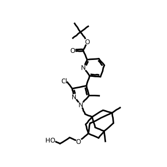 Cc1c(-c2cccc(C(=O)OC(C)(C)C)n2)c(Cl)nn1CC12CC3(C)CC(C)(C1)CC(OCCO)(C3)C2